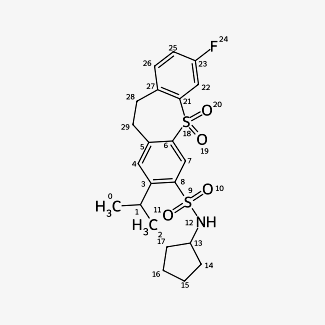 CC(C)c1cc2c(cc1S(=O)(=O)NC1CCCC1)S(=O)(=O)c1cc(F)ccc1CC2